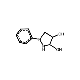 OC1CN(c2ccccc2)NC1O